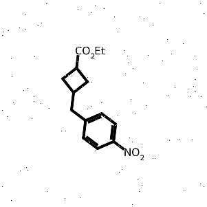 CCOC(=O)C1CC(Cc2ccc([N+](=O)[O-])cc2)C1